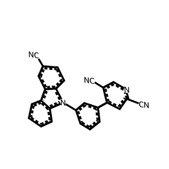 N#Cc1ccc2c(c1)c1ccccc1n2-c1cccc(-c2cc(C#N)ncc2C#N)c1